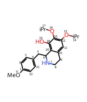 COc1ccc(CC2NCCc3cc(OC(C)C)c(OC(C)C)c(O)c32)cc1